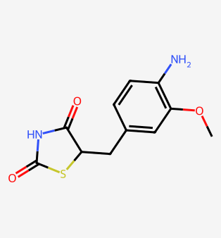 COc1cc(CC2SC(=O)NC2=O)ccc1N